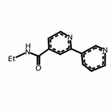 CCNC(=O)c1ccnc(-c2cccnc2)c1